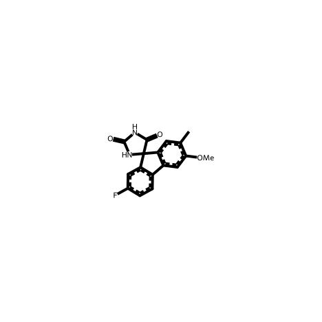 COc1cc2c(cc1C)C1(NC(=O)NC1=O)c1cc(F)ccc1-2